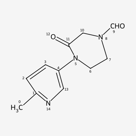 Cc1ccc(N2CCN(C=O)CC2=O)cn1